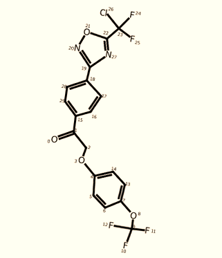 O=C(COc1ccc(OC(F)(F)F)cc1)c1ccc(-c2noc(C(F)(F)Cl)n2)cc1